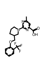 Cc1cc(C(=O)O)nc(N2CCCC(COc3ccccc3C(F)(F)F)C2)n1